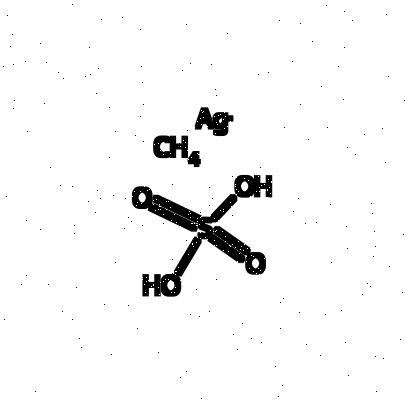 C.O=S(=O)(O)O.[Ag]